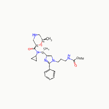 COC(=O)NCCCn1cc([C@@H](C)N(C(=O)[C@H]2CNC[C@@H](C)O2)C2CC2)nc1-c1ccccc1